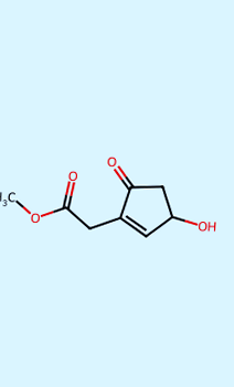 COC(=O)CC1=CC(O)CC1=O